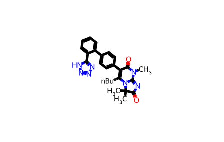 CCCCC1=C(c2ccc(-c3ccccc3-c3nnn[nH]3)cc2)C(=O)N(C)C2=NC(=O)C(C)(C)N21